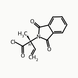 C=C[C@](C)(C(=O)Cl)N1C(=O)c2ccccc2C1=O